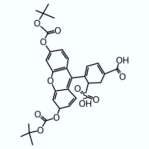 CC(C)(C)OC(=O)Oc1ccc2c(c1)OC1=CC(OC(=O)OC(C)(C)C)C=CC1=C2C1=CC=C(C(=O)O)CC1S(=O)(=O)O